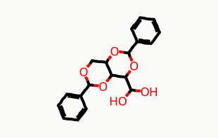 OC(O)C1OC(c2ccccc2)OC2COC(c3ccccc3)OC21